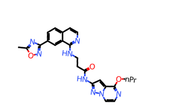 CCCOc1nccn2nc(NC(=O)CCNc3nccc4ccc(-c5noc(C)n5)cc34)cc12